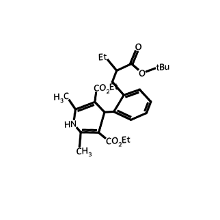 CCOC(=O)C1=C(C)NC(C)=C(C(=O)OCC)C1c1ccccc1CC(CC)C(=O)OC(C)(C)C